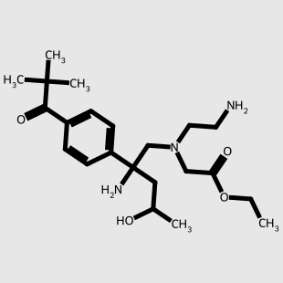 CCOC(=O)CN(CCN)CC(N)(CC(C)O)c1ccc(C(=O)C(C)(C)C)cc1